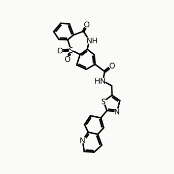 O=C(NCc1cnc(-c2ccc3ncccc3c2)s1)c1ccc2c(c1)NC(=O)c1ccccc1S2(=O)=O